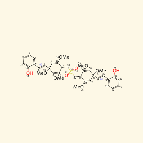 COC1=CC(/C=C/c2ccccc2O)(OC)C=C(OC)C1CS(=O)(=O)CC1C(OC)=CC(/C=C/c2ccccc2O)(OC)C=C1OC